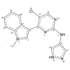 Cn1cc(-c2nc(Nc3cn[nH]c3)ncc2Cl)c2ccccc21